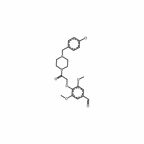 COc1cc(C=O)cc(OC)c1OCC(=O)N1CCN(Cc2ccc(Cl)cc2)CC1